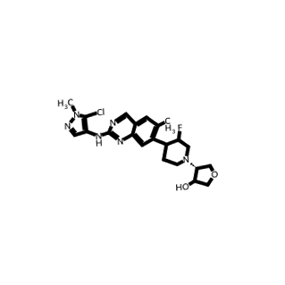 Cc1cc2cnc(Nc3cnn(C)c3Cl)nc2cc1C1CCN([C@@H]2COCC2O)CC1F